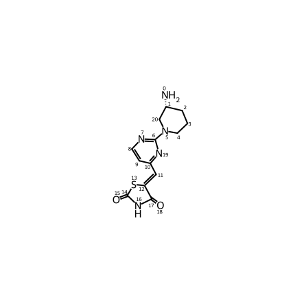 N[C@@H]1CCCN(c2nccc(/C=C3\SC(=O)NC3=O)n2)C1